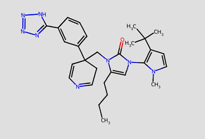 CCCCc1cn(-c2c(C(C)(C)C)ccn2C)c(=O)n1CC1(c2cccc(-c3nnn[nH]3)c2)C=CN=CC1